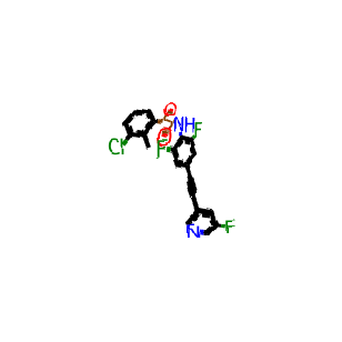 Cc1c(Cl)cccc1S(=O)(=O)Nc1c(F)cc(C#Cc2cncc(F)c2)cc1F